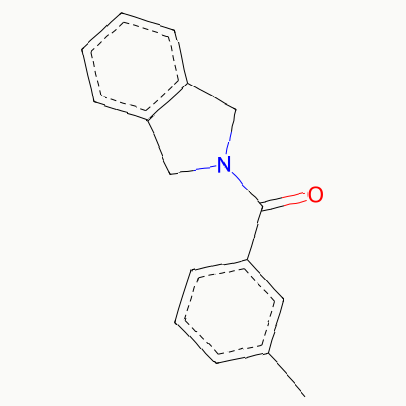 Cc1cccc(C(=O)N2Cc3ccccc3C2)c1